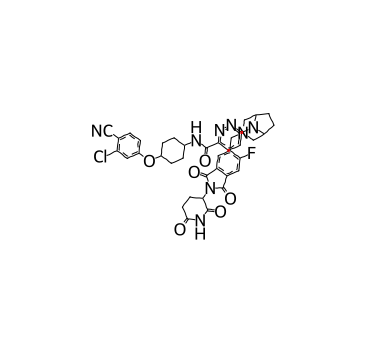 N#Cc1ccc(OC2CCC(NC(=O)c3ccc(N4C5CCC4CN(Cc4cc6c(cc4F)C(=O)N(C4CCC(=O)NC4=O)C6=O)C5)nn3)CC2)cc1Cl